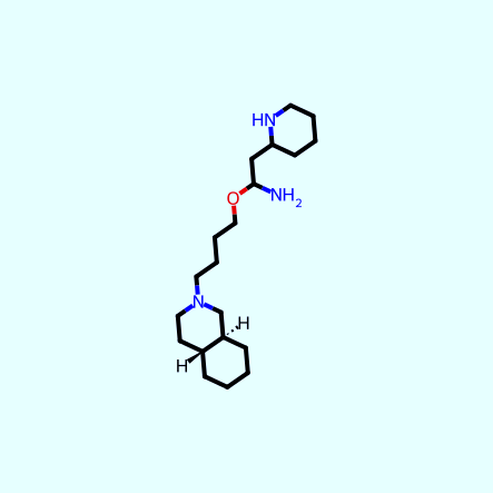 NC(CC1CCCCN1)OCCCCN1CC[C@H]2CCCC[C@@H]2C1